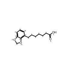 O=C(O)CCCCCCc1cccc2c1OCO2